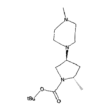 C[C@H]1C[C@H](N2CCN(C)CC2)CN1C(=O)OC(C)(C)C